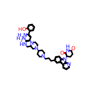 NC1=C(/C=C(\N)c2ccccc2O)N2CCN(C3CCN(CCCc4ccc5c(c4)c4cccnc4n5C4CCC(=O)NC4=O)CC3)CC2CN1